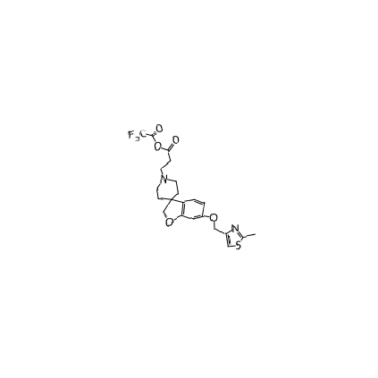 Cc1nc(COc2ccc3c(c2)OCC32CCN(CCC(=O)OC(=O)C(F)(F)F)CC2)cs1